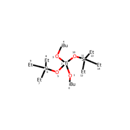 CCC(C)[O][Ti]([O]C(C)CC)([O][Si](CC)(CC)CC)[O][Si](CC)(CC)CC